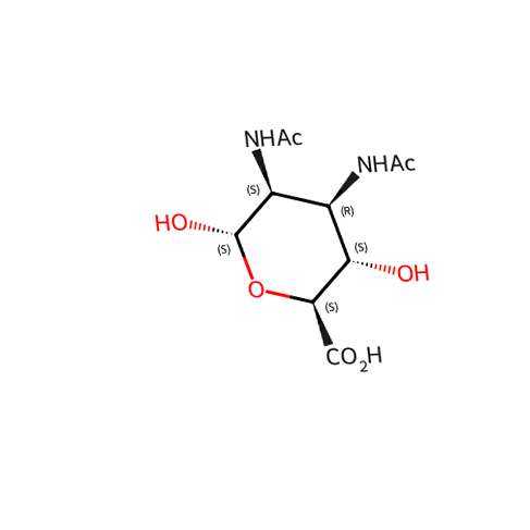 CC(=O)N[C@H]1[C@H](O)[C@@H](C(=O)O)O[C@H](O)[C@H]1NC(C)=O